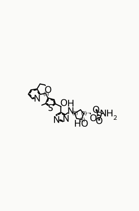 Cc1sc(C(=O)c2cncnc2N[C@@H]2C[C@H](COS(N)(=O)=O)[C@@H](O)C2)cc1[C@@H]1OCCc2cccnc21